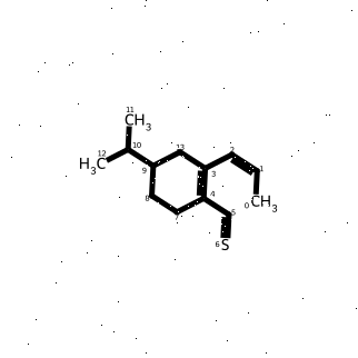 C/C=C\C1=C(C=S)CCC(C(C)C)C1